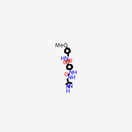 COc1ccc(CNS(=O)(=O)c2ccc(NC(=O)NCc3cn[nH]c3)cc2)cc1